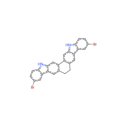 Brc1ccc2[nH]c3cc4c(cc3c2c1)CCc1cc2c(cc1-4)[nH]c1ccc(Br)cc12